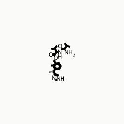 Cc1c(COC(=O)C(NC(=O)C(N)C(C)C)C(C)C)cccc1[C@H](C)c1c[nH]cn1